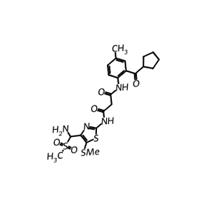 CSc1sc(NC(=O)CC(=O)Nc2ccc(C)cc2C(=O)C2CCCC2)nc1C(N)S(C)(=O)=O